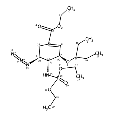 CCOC(=O)C1=C[C@@H](OC(CC)CC)[C@H](NP(=O)(OCC)OCC)[C@@H](N=[N+]=[N-])C1